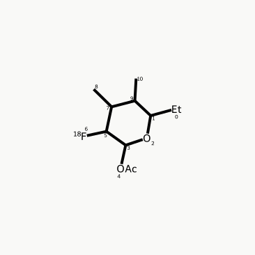 CCC1OC(OC(C)=O)C([18F])C(C)C1C